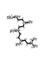 CC(C)N(CCNC(C)(C)C)CCN(CCN(CCN(C(C)C)C(C)C)C(C)C)C(C)C